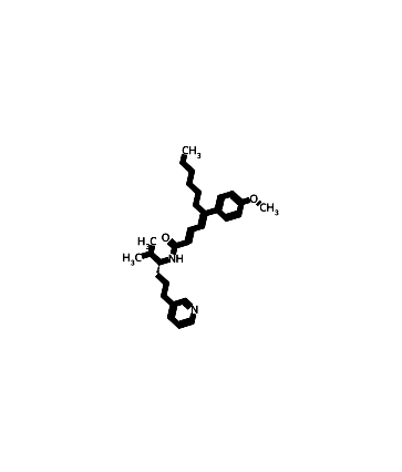 CCCCCC/C(=C\C=C\C(=O)N[C@H](CCCc1cccnc1)C(C)C)c1ccc(OC)cc1